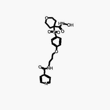 O=C(NCCCOc1ccc(S(=O)(=O)C2(C(=O)NO)CCOCC2)cc1)c1ccncc1